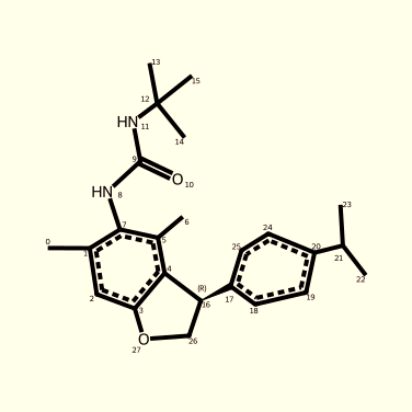 Cc1cc2c(c(C)c1NC(=O)NC(C)(C)C)[C@@H](c1ccc(C(C)C)cc1)CO2